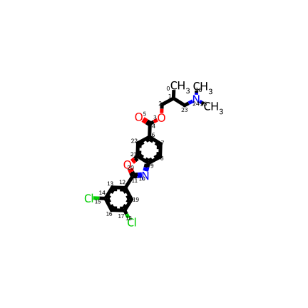 CC(COC(=O)c1ccc2nc(-c3cc(Cl)cc(Cl)c3)oc2c1)CN(C)C